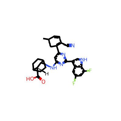 CC1C=CC(C#N)=C(c2cc(NC3C4CCC(CC4)[C@H]3C(=O)O)nc(-c3c[nH]c4c(F)cc(F)cc34)n2)C1